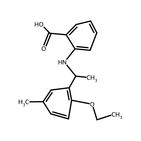 CCOc1ccc(C)cc1C(C)Nc1ccccc1C(=O)O